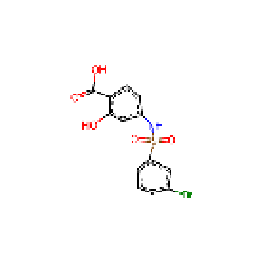 O=C(O)c1ccc(NS(=O)(=O)c2cccc(Br)c2)cc1O